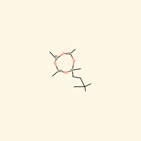 C[SiH]1O[SiH](C)O[Si](C)(CCC(C)(C)C)O[SiH](C)O1